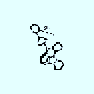 CC1(C)c2ccccc2-c2ccc(N(c3ccccc3)c3ccccc3N3c4ccccc4C4C=CC=CC43)cc21